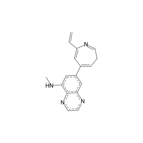 C=CC1=CC(c2cc(NC)c3nccnc3c2)=CCC=N1